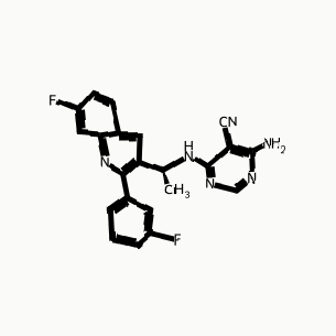 C[C@H](Nc1ncnc(N)c1C#N)c1cc2ccc(F)cc2nc1-c1cccc(F)c1